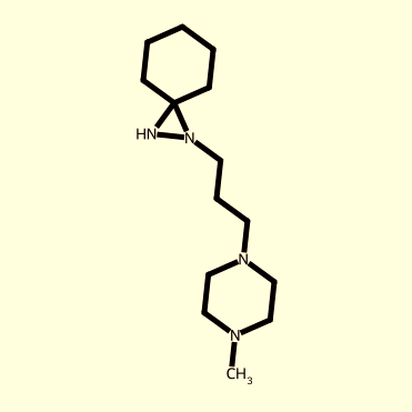 CN1CCN(CCCN2NC23CCCCC3)CC1